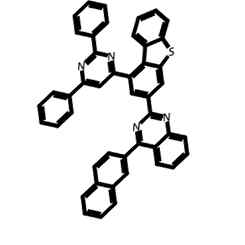 c1ccc(-c2cc(-c3cc(-c4nc(-c5ccc6ccccc6c5)c5ccccc5n4)cc4sc5ccccc5c34)nc(-c3ccccc3)n2)cc1